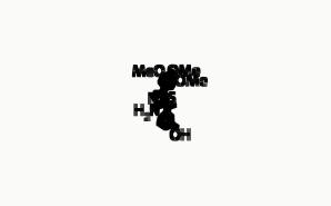 COc1cc(-c2cnc(N)c3c2SCC3c2cccc(CO)c2)cc(OC)c1OC